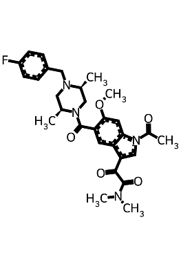 COc1cc2c(cc1C(=O)N1C[C@H](C)N(Cc3ccc(F)cc3)C[C@@H]1C)c(C(=O)C(=O)N(C)C)cn2C(C)=O